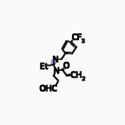 C=CC(=O)N(CCC=O)/C(CC)=N\Cc1ccc(C(F)(F)F)cc1